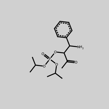 CC(=O)C(OP(=O)(OC(C)C)OC(C)C)C(N)c1ccccc1